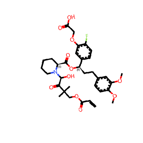 C=CC(=O)OCC(C)(C)C(=O)C(O)N1CCCC[C@H]1C(=O)O[C@H](CCc1ccc(OC)c(OC)c1)c1ccc(F)c(OCC(=O)O)c1